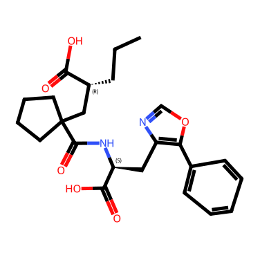 CCC[C@H](CC1(C(=O)N[C@@H](Cc2ncoc2-c2ccccc2)C(=O)O)CCCC1)C(=O)O